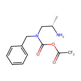 C[C@H](N)CN(Cc1ccccc1)C(=O)OC(=O)C(F)(F)F